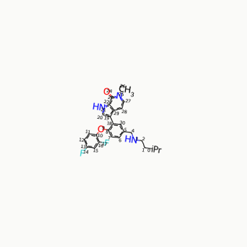 CC(C)CCNCc1ccc(Oc2ccc(F)cc2F)c(-c2c[nH]c3c(=O)n(C)ccc23)c1